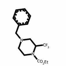 CCOC(=O)N1CCN(Cc2ccccc2)CC1C(F)(F)F